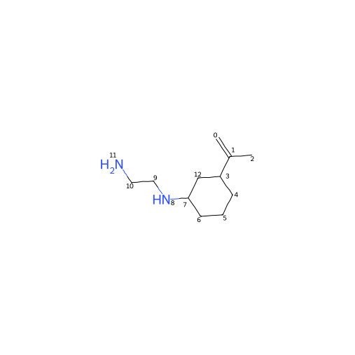 C=C(C)C1CCCC(NCCN)C1